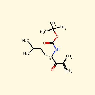 C=C(C)C(=O)[C@H](CCC(C)C)NC(=O)OC(C)(C)C